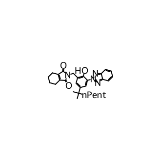 CCCCCC(C)(C)c1cc(CN2C(=O)C3=C(CCCC3)C2=O)c(O)c(-n2nc3ccccc3n2)c1